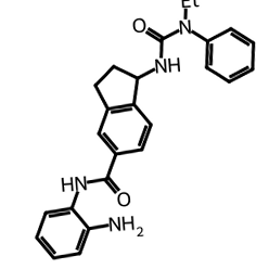 CCN(C(=O)NC1CCc2cc(C(=O)Nc3ccccc3N)ccc21)c1ccccc1